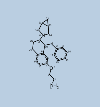 NCCOc1ccc2c(c1)C(Cc1ccccc1)C(N1CC3CC3C1)CC2